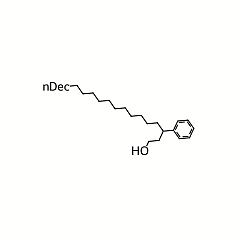 CCCCCCCCCCCCCCCCCCCCCC(CCO)c1ccccc1